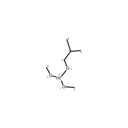 C[O][Hf]([O]C)[O]CC(C)C